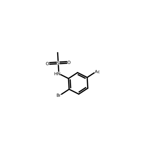 CC(=O)c1ccc(Br)c(NS(C)(=O)=O)c1